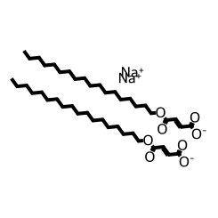 CCCCCCCCCCCCCCCCCCOC(=O)/C=C/C(=O)[O-].CCCCCCCCCCCCCCCCCCOC(=O)/C=C/C(=O)[O-].[Na+].[Na+]